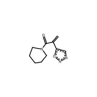 C=C(C(=O)N1CCCCC1)c1cnno1